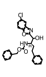 O=C(N[C@H](CCc1ccccc1)C(O)c1nc2cc(Cl)ccc2o1)OCc1ccccc1